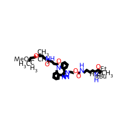 CCC(C)(C)C(=O)C(CCCCNC(=O)OCCn1nnc2c1-c1ccccc1N(C(=O)CCC(=O)NCCC(C)(C)OCCC(C)(C)OC)Cc1ccccc1-2)NC(C)(C)C